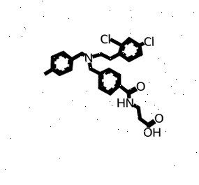 Cc1ccc(CN(CCc2ccc(Cl)cc2Cl)Cc2ccc(C(=O)NCCC(=O)O)cc2)cc1